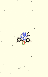 C/C=N\N(/C=C(/C)CC)c1nc2ccc(C)cc2c(=O)n1-c1ccc(C)cc1Cl